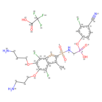 Cc1c(S(=O)(=O)NCP(=O)(O)Oc2ccc(C#N)c(F)c2)sc2c(F)c(OCCCN)c(OCCCN)c(F)c12.O=C(O)C(F)(F)F